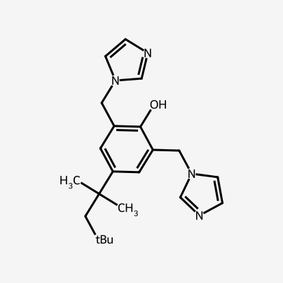 CC(C)(C)CC(C)(C)c1cc(Cn2ccnc2)c(O)c(Cn2ccnc2)c1